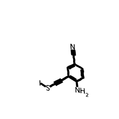 N#Cc1ccc(N)c(C#CSI)c1